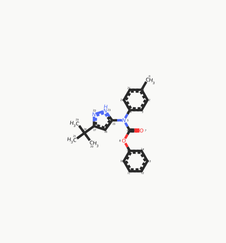 Cc1ccc(N(C(=O)Oc2ccccc2)c2cc(C(C)(C)C)n[nH]2)cc1